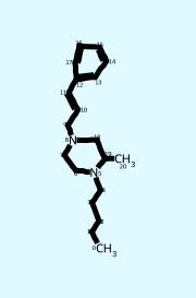 CCCCCN1CCN(C/C=C/c2ccccc2)CC1C